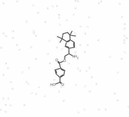 CC1(C)CCC(C)(C)c2cc(C(N)COC(=O)c3ccc(C(=O)O)cc3)ccc21